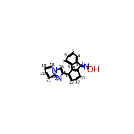 ON=C1c2ccccc2-c2c1cccc2-c1cn2ccccc2n1